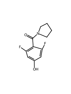 O=C(c1c(F)cc(O)cc1F)N1CCCC1